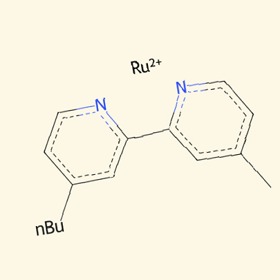 CCCCc1ccnc(-c2cc(C)ccn2)c1.[Ru+2]